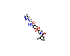 O=C(Nc1ccc(S(=O)(=O)C2CCN(C(=O)c3cc(F)cc(F)c3)CC2)cc1)C1CN(c2cccnn2)C1